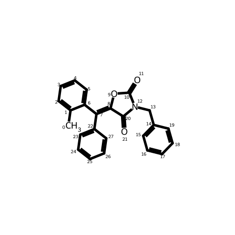 Cc1ccccc1/C(=C1\OC(=O)N(Cc2ccccc2)C1=O)c1ccccc1